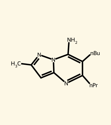 CCCCc1c(CCC)nc2cc(C)nn2c1N